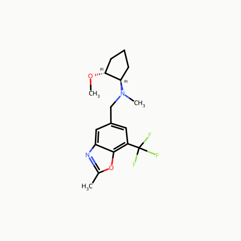 CO[C@@H]1CCC[C@H]1N(C)Cc1cc(C(F)(F)F)c2oc(C)nc2c1